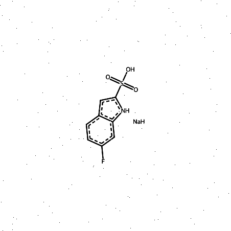 O=S(=O)(O)c1cc2ccc(F)cc2[nH]1.[NaH]